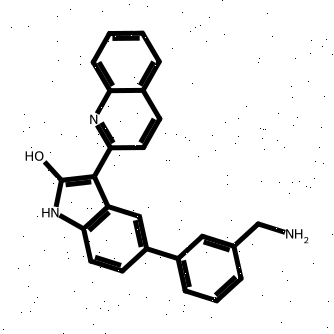 NCc1cccc(-c2ccc3[nH]c(O)c(-c4ccc5ccccc5n4)c3c2)c1